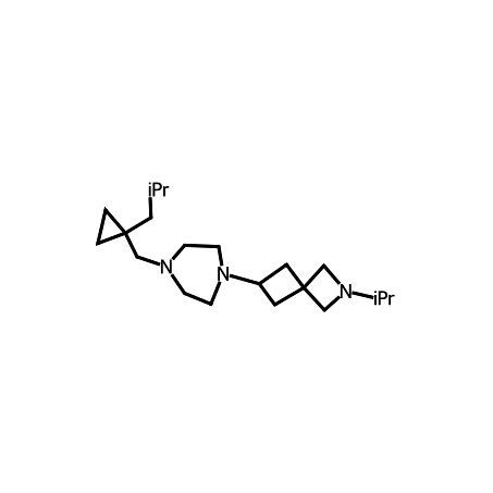 CC(C)CC1(CN2CCN(C3CC4(C3)CN(C(C)C)C4)CC2)CC1